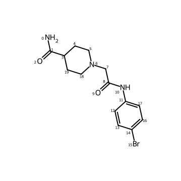 NC(=O)C1CCN(CC(=O)Nc2ccc(Br)cc2)CC1